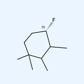 CC1C(C)C(C)(C)CC[C@@H]1F